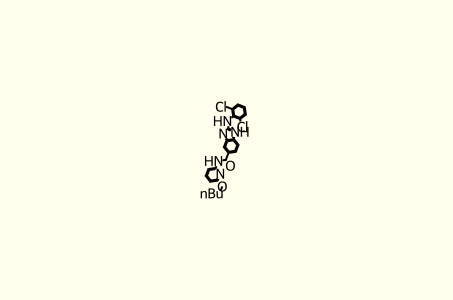 CCCCOc1cccc(NC(=O)c2ccc3[nH]c(Nc4c(Cl)cccc4Cl)nc3c2)n1